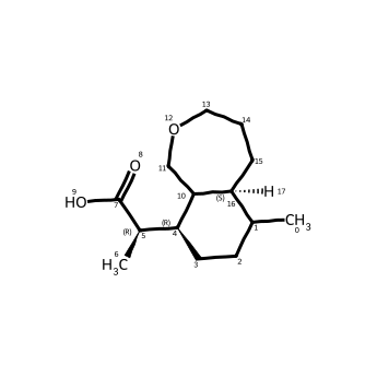 CC1CC[C@@H]([C@@H](C)C(=O)O)C2COCCC[C@@H]12